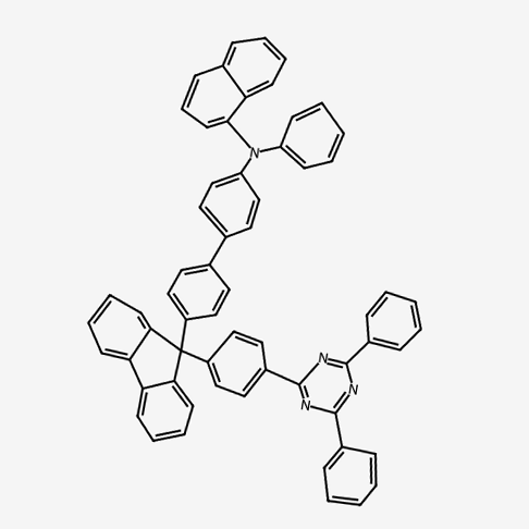 c1ccc(-c2nc(-c3ccccc3)nc(-c3ccc(C4(c5ccc(-c6ccc(N(c7ccccc7)c7cccc8ccccc78)cc6)cc5)c5ccccc5-c5ccccc54)cc3)n2)cc1